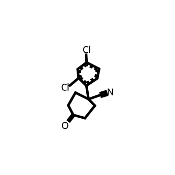 N#CC1(c2ccc(Cl)cc2Cl)CCC(=O)CC1